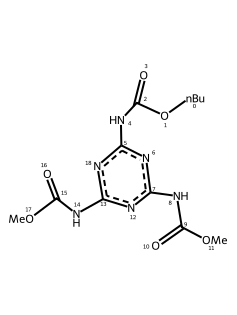 CCCCOC(=O)Nc1nc(NC(=O)OC)nc(NC(=O)OC)n1